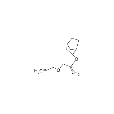 C=CCOCC(=C)OC1CC2CCC1C2